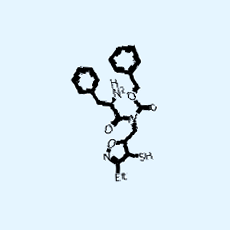 CCC1=NOC(CN(C(=O)OCc2ccccc2)C(=O)[C@H](N)Cc2ccccc2)C1S